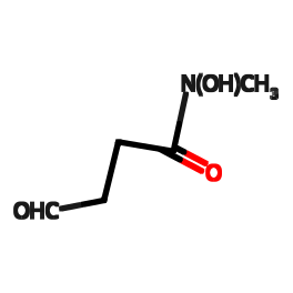 CN(O)C(=O)CCC=O